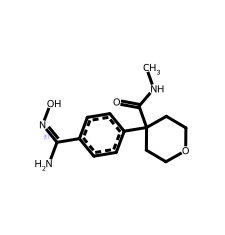 CNC(=O)C1(c2ccc(/C(N)=N\O)cc2)CCOCC1